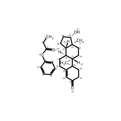 CCC(=O)Oc1ccccc1.C[C@]12CC[C@H]3[C@@H](CCC4=CC(=O)CC[C@@]43C)[C@@H]1CC[C@@H]2O